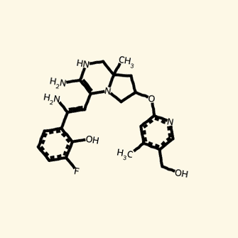 Cc1cc(OC2CN3C(/C=C(\N)c4cccc(F)c4O)=C(N)NCC3(C)C2)ncc1CO